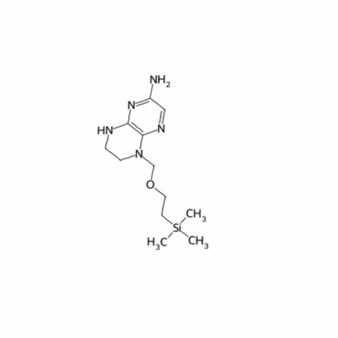 C[Si](C)(C)CCOCN1CCNc2nc(N)cnc21